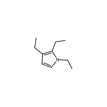 CCc1ccn(CC)c1CC